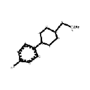 COCC1CCC(c2ccc(I)cc2)CC1